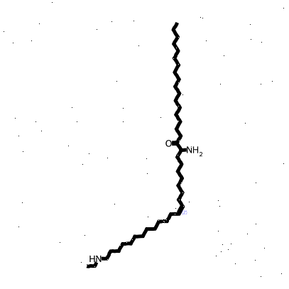 CCCCCCCCCCCCCCCCCC(=O)C(N)CCCCCCC/C=C\CCCCCCCCCCCCNCC